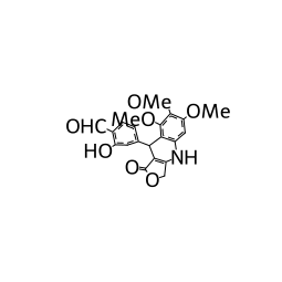 COc1cc2c(c(OC)c1OC)C(c1ccc(C=O)c(O)c1)C1=C(COC1=O)N2